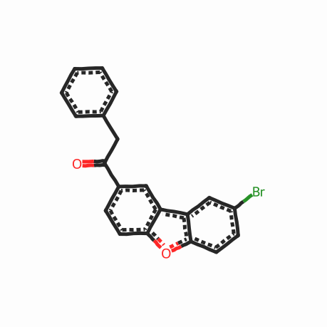 O=C(Cc1ccccc1)c1ccc2oc3ccc(Br)cc3c2c1